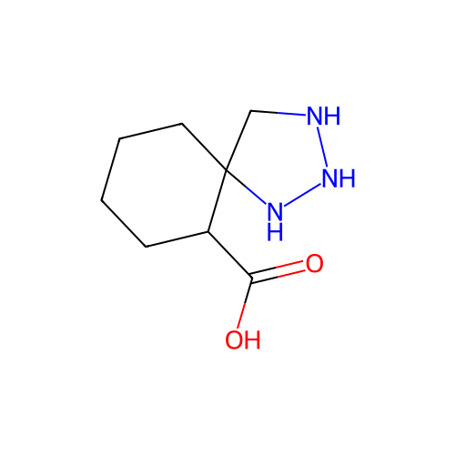 O=C(O)C1CCCCC12CNNN2